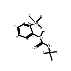 CN(C(=O)OC(C)(C)C)c1cccc[c]1[Sn]([CH3])([CH3])[CH3]